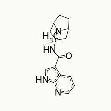 CN1C2CCC1CC(NC(=O)c1c[nH]c3ncccc13)C2